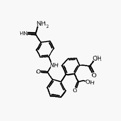 N=C(N)c1ccc(NC(=O)c2ccccc2-c2cccc(C(=O)O)c2C(=O)O)cc1